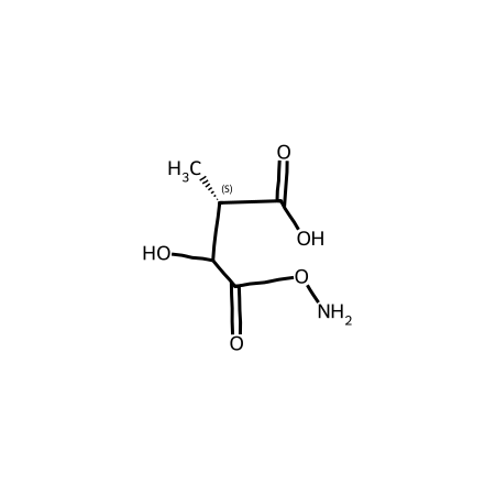 C[C@H](C(=O)O)C(O)C(=O)ON